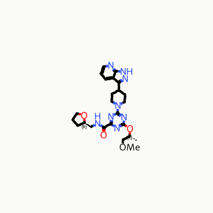 COC[C@@H](C)Oc1nc(C(=O)NC[C@H]2CCCO2)nc(N2CCC(c3n[nH]c4ncccc34)CC2)n1